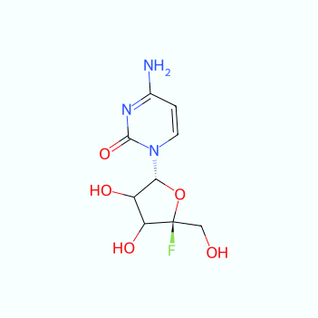 Nc1ccn([C@@H]2O[C@](F)(CO)C(O)C2O)c(=O)n1